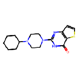 O=c1[nH]c(N2CCN(C3CCCCC3)CC2)nc2ccsc12